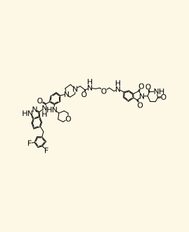 O=C(CN1CCN(c2ccc(C(=O)Nc3n[nH]c4ccc(Cc5cc(F)cc(F)c5)cc34)c(NC3CCOCC3)c2)CC1)NCCOCCNc1ccc2c(c1)C(=O)N(C1CCC(=O)NC1=O)C2=O